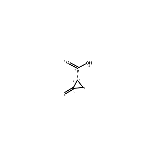 C=C1C[C@H]1C(=O)O